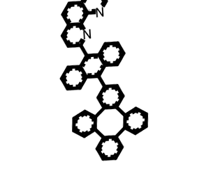 c1ccc2c(c1)-c1ccccc1-c1ccc(-c3c4ccccc4c(-c4ccc5ccc6cccnc6c5n4)c4ccccc34)cc1-c1ccccc1-2